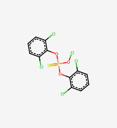 S=P(OCl)(Oc1c(Cl)cccc1Cl)Oc1c(Cl)cccc1Cl